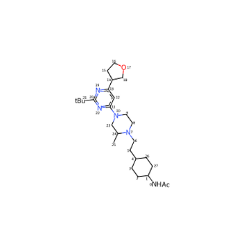 CC(=O)NC1CCC(CCN2CCN(c3cc(C4CCOC4)nc(C(C)(C)C)n3)CC2C)CC1